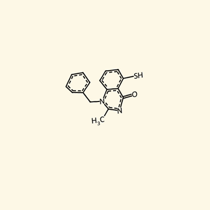 Cc1nc(=O)c2c(S)cccc2n1Cc1ccccc1